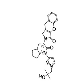 CC(C)(O)Cn1ccc(NC(=O)[C@H](CC2CCCC2)N2CC3=C(Oc4ccccc4C3)C2=O)n1